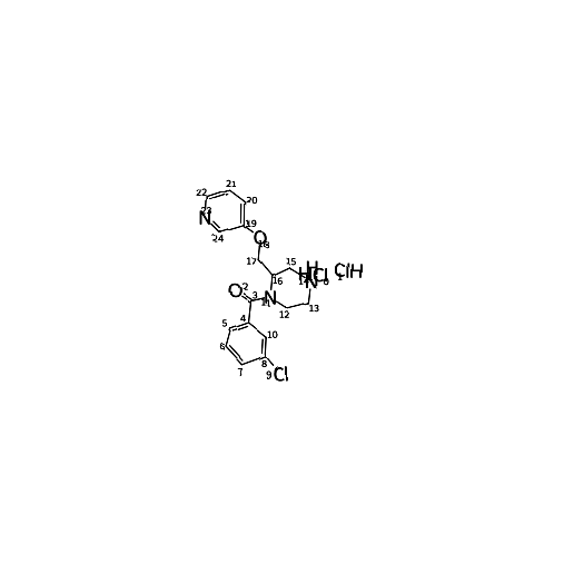 Cl.Cl.O=C(c1cccc(Cl)c1)N1CCNCC1COc1cccnc1